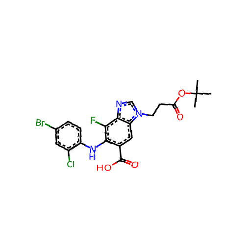 CC(C)(C)OC(=O)CCn1cnc2c(F)c(Nc3ccc(Br)cc3Cl)c(C(=O)O)cc21